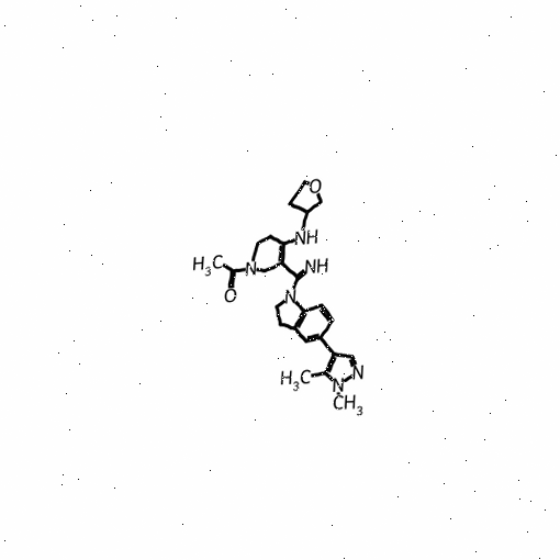 CC(=O)N1CCC(NC2CCOC2)=C(C(=N)N2CCc3cc(-c4cnn(C)c4C)ccc32)C1